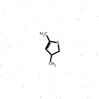 CC1=CC(C)CS1